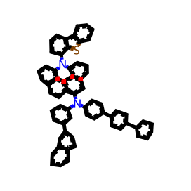 c1ccc(-c2ccc(-c3ccc(N(c4cccc(-c5ccc6ccccc6c5)c4)c4cccc(-c5ccccc5N(c5ccccc5-c5ccccc5)c5cccc6c5sc5ccccc56)c4)cc3)cc2)cc1